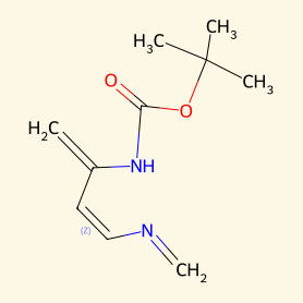 C=N/C=C\C(=C)NC(=O)OC(C)(C)C